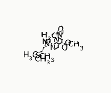 COC(=O)c1cc(N2CCOC[C@H]2C)nc2c(-c3ccnn3CCCC[Si](C)(C)C)nccc12